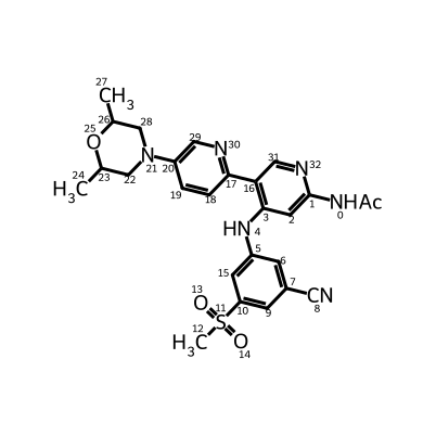 CC(=O)Nc1cc(Nc2cc(C#N)cc(S(C)(=O)=O)c2)c(-c2ccc(N3CC(C)OC(C)C3)cn2)cn1